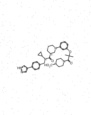 CC(C)(Oc1cccc(N2CCC[C@H](C(=O)N(Cc3ccc(-c4cn[nH]c4)cc3)C3CC3)C2)c1)C(=O)N1CCN(C(=O)O)CC1